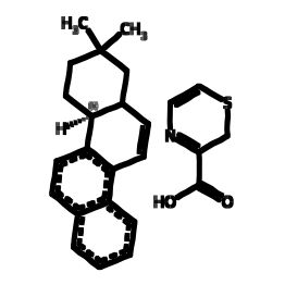 CC1(C)CC[C@@H]2c3ccc4ccccc4c3C=CC2C1.O=C(O)C1=NC=CSC1